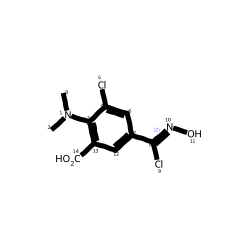 CN(C)c1c(Cl)cc(/C(Cl)=N/O)cc1C(=O)O